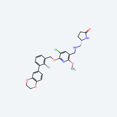 COc1nc(OCc2cccc(-c3ccc4c(c3)OCCO4)c2Cl)c(Cl)cc1CNC[C@@H]1CCC(=O)N1